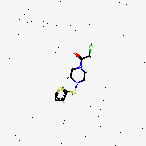 O=C(CCl)N1CCN(Sc2cccs2)CC1